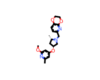 COc1cc(O[C@@H]2C[C@H](C)N(Cc3ccc4c(n3)OCCO4)C2)cc(C)n1